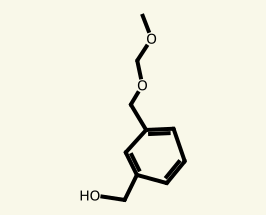 COCOCc1cccc(CO)c1